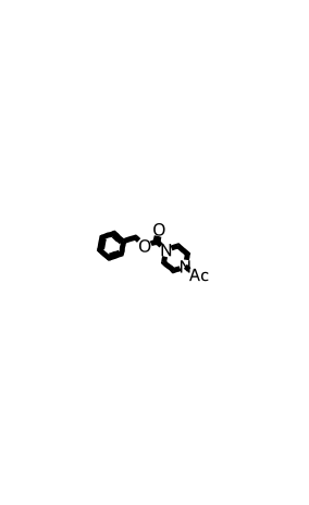 CC(=O)N1CCN(C(=O)OCc2ccccc2)CC1